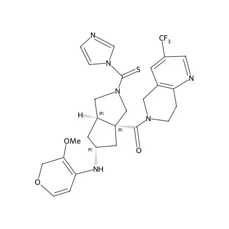 COC1=C(N[C@@H]2C[C@H]3CN(C(=S)n4ccnc4)C[C@@]3(C(=O)N3CCc4ncc(C(F)(F)F)cc4C3)C2)C=COC1